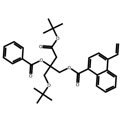 C=Cc1ccc(C(=O)OCC(COC(C)(C)C)(CC(=O)OC(C)(C)C)OC(=O)c2ccccc2)c2ccccc12